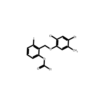 CCC(=O)Oc1cccc(I)c1COc1cc(C)c(CC)cc1Cl